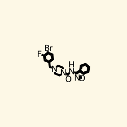 O=C(Nc1noc2ccccc12)N1CCN(Cc2ccc(Br)c(F)c2)CC1